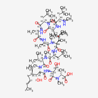 CC=CC[C@@H](C)[C@@H](O)[C@@H](C(=O)N[C@H](C(=O)N(C)CC(=O)O)[C@@H](C)O)N(C)C(=O)[C@H](C(C)C)N(C)C(=O)[C@H](CC(C)C)NC(=O)[C@H](CC(C)C)N(C)C(=O)[C@@H](C)NC(=O)[C@H](C)NC(=O)[C@H](CC(C)C)N(C)C(=O)[C@H](CC(C)C)NC(=O)[C@H](CC(C)C)NC